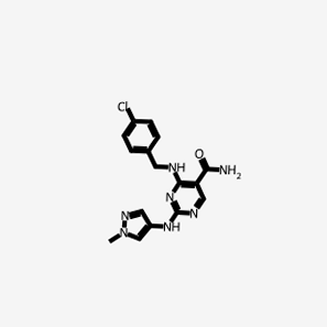 Cn1cc(Nc2ncc(C(N)=O)c(NCc3ccc(Cl)cc3)n2)cn1